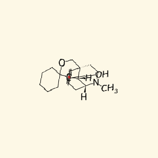 CN1CC[C@]23COC4(CCCCC4)C[C@H]2[C@H]1Cc1ccc(O)cc13